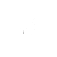 Cc1ccc(-n2nc(C(C)(C)C)cc2NC(=O)C(C)(C)C)cc1